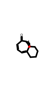 O=C1C=CC=C2CCCCC23CC=CC=C13